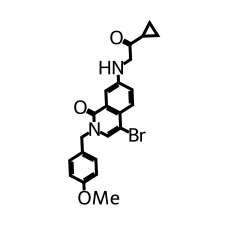 COc1ccc(Cn2cc(Br)c3ccc(NCC(=O)C4CC4)cc3c2=O)cc1